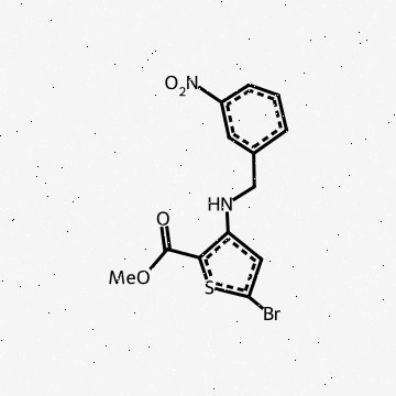 COC(=O)c1sc(Br)cc1NCc1cccc([N+](=O)[O-])c1